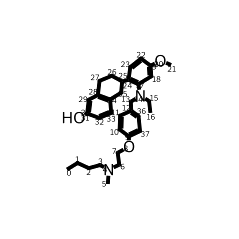 CCCCN(C)CCOc1ccc(CN(CC)c2cc(OC)ccc2C2CCc3cc(O)ccc3C2)cc1